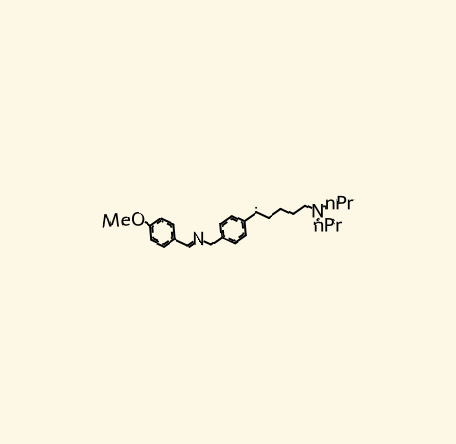 CCCN(CCC)CCCC[CH]c1ccc(CN=Cc2ccc(OC)cc2)cc1